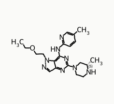 CCOCCn1ncc2nc(N3CCN[C@@H](C)C3)nc(Nc3ccc(C)cn3)c21